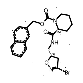 O=C(NC[C@@H]1CC(Br)=NO1)[C@@H]1CCCCN1C(=O)OCc1cnc2ccccc2c1